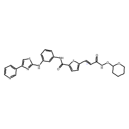 O=C(/C=C/c1ccc(C(=O)Nc2cccc(Nc3nc(-c4cccnc4)cs3)c2)s1)NOC1CCCCO1